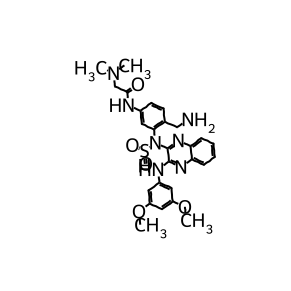 COc1cc(Nc2nc3ccccc3nc2N(c2cc(NC(=O)CN(C)C)ccc2CN)[SH](=O)=O)cc(OC)c1